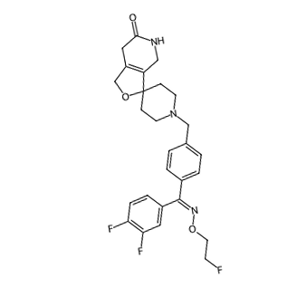 O=C1CC2=C(CN1)C1(CCN(Cc3ccc(C(=NOCCF)c4ccc(F)c(F)c4)cc3)CC1)OC2